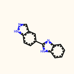 c1ccc2[nH]c(-c3ccc4[nH]ncc4c3)nc2c1